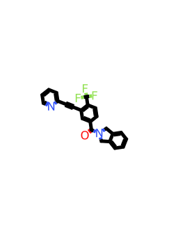 O=C(c1ccc(C(F)(F)F)c(C#Cc2ccccn2)c1)N1Cc2ccccc2C1